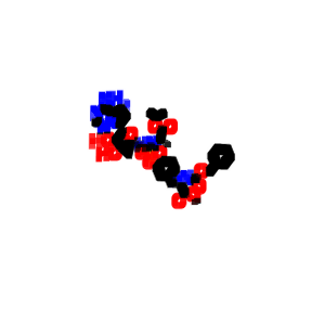 COC(=O)[C@H](Cc1ccc(OP(=O)(N[C@@H](C)C(=O)OC(C)C)OC[C@]23C[C@]2(O)[C@@H](O)[C@H](c2ccc4c(N)ncnn24)O3)cc1)NC(=O)OCc1ccccc1